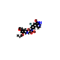 COc1ccc(CN(C[C@H]2CN(c3ccc(/C=C4/C(=O)Nc5ncccc54)c(F)c3)C(=O)O2)C(C)=O)c(OC)c1